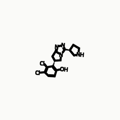 Oc1ccc(Cl)c(Cl)c1[C@@H]1Cc2nnc([C@H]3CCNC3)n2C1